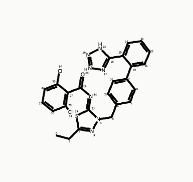 CCc1nn(Cc2ccc(-c3ccccc3-c3nnn[nH]3)cc2)c(=NC(=O)c2c(Cl)cccc2Cl)s1